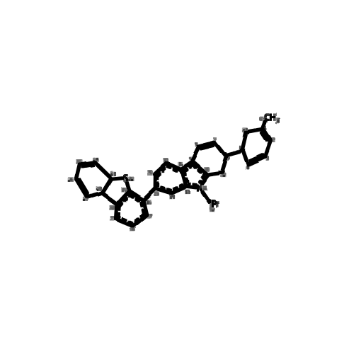 CC1=CC=CC(C2C=Cc3c(n(C(C)C)c4cc(-c5cccc6c5SC5C=CC=CC65)ccc34)C2)C1